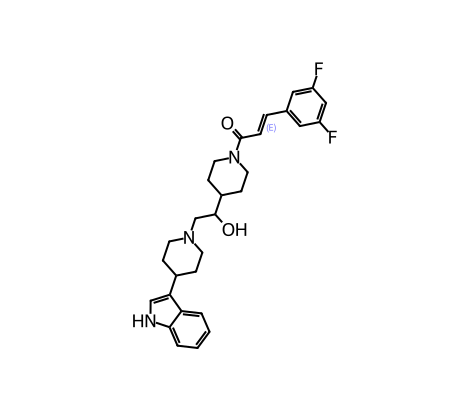 O=C(/C=C/c1cc(F)cc(F)c1)N1CCC(C(O)CN2CCC(c3c[nH]c4ccccc34)CC2)CC1